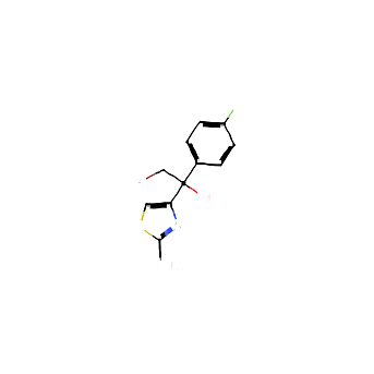 Cc1nc(C(O)(CBr)c2ccc(F)cc2)cs1